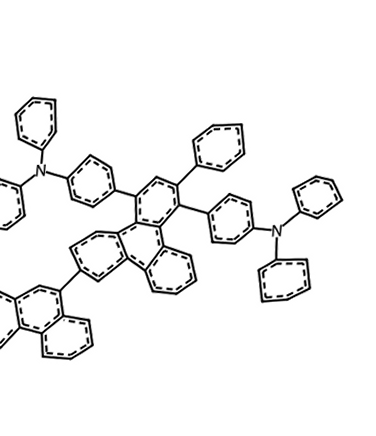 c1ccc(-c2cc(-c3ccc(N(c4ccccc4)c4ccccc4)cc3)c3c4ccc(-c5cc6ccccc6c6ccccc56)cc4c4ccccc4c3c2-c2ccc(N(c3ccccc3)c3ccccc3)cc2)cc1